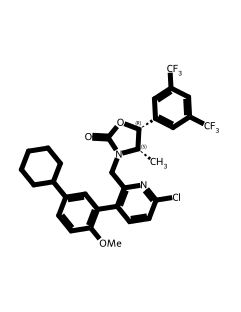 COc1ccc(C2CCCCC2)cc1-c1ccc(Cl)nc1CN1C(=O)O[C@H](c2cc(C(F)(F)F)cc(C(F)(F)F)c2)[C@@H]1C